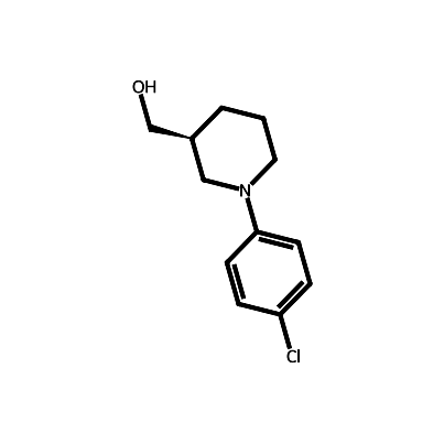 OC[C@H]1CCCN(c2ccc(Cl)cc2)C1